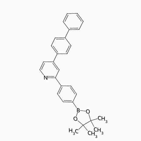 CC1(C)OB(c2ccc(-c3cc(-c4ccc(-c5ccccc5)cc4)ccn3)cc2)OC1(C)C